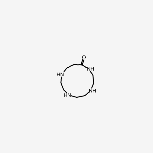 O=C1CCNCCNCCNCCN1